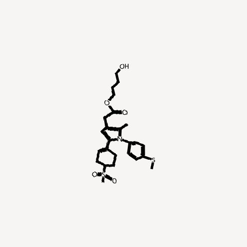 CSc1ccc(-n2c(C3=CCC(S(C)(=O)=O)CC3)cc(CC(=O)OCCCCO)c2C)cc1